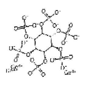 O=P([O-])([O-])O[C@H]1[C@H](OP(=O)([O-])[O-])[C@@H](OP(=O)([O-])[O-])[C@H](OP(=O)([O-])[O-])[C@@H](OP(=O)([O-])[O-])[C@H]1OP(=O)([O-])[O-].[Ge+4].[Ge+4].[Ge+4]